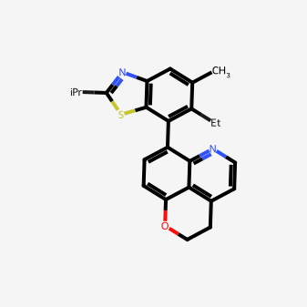 CCc1c(C)cc2nc(C(C)C)sc2c1-c1ccc2c3c(ccnc13)CCO2